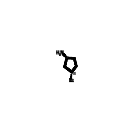 CC[C@H]1CCN(N)C1